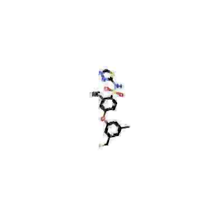 Cc1cc(CF)cc(Oc2ccc(S(=O)(=O)Nc3nncs3)c(C#N)c2)c1